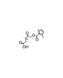 Cc1ccsc1C(=O)OCC(=O)[C@@H](C)CC(=O)O